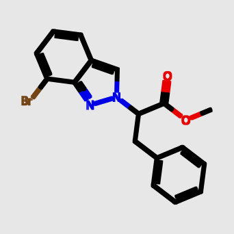 COC(=O)C(Cc1ccccc1)n1cc2cccc(Br)c2n1